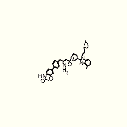 COCCCn1c(C2CCCN(C(=O)CC(N)Cc3ccc(-c4ccc5c(c4)OCC(=O)N5)cc3)C2)nc2c(C)cccc21